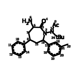 CC(=O)N(N1C(=O)C(N)CC(c2ccccc2)CC1c1cccc(C)c1)C(C)(C)C